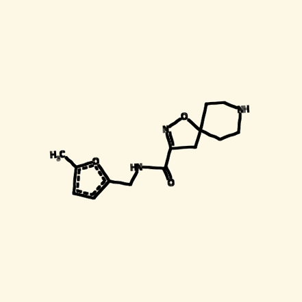 Cc1ccc(CNC(=O)C2=NOC3(CCNCC3)C2)o1